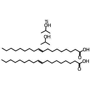 CC(C)O.CC(C)O.CCCCCCCC/C=C/CCCCCCCC(=O)O.CCCCCCCC/C=C/CCCCCCCC(=O)O.[Ti]